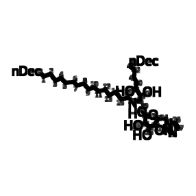 CCCCCCCCCCCCCCCCCCCCCCCCCCN[C@@H](CO[C@H]1O[C@H](Cn2ccnn2)[C@H](O)[C@H](O)[C@H]1O)[C@H](O)[C@H](O)CCCCCCCCCCCCCC